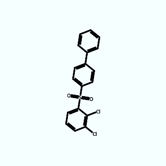 O=S(=O)(c1ccc(-c2ccccc2)cc1)c1cccc(Cl)c1Cl